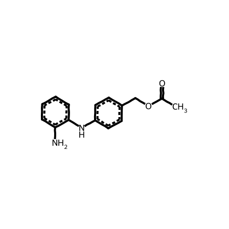 CC(=O)OCc1ccc(Nc2ccccc2N)cc1